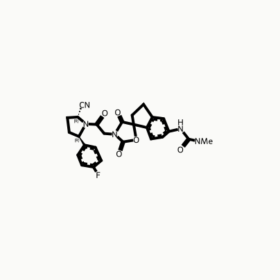 CNC(=O)Nc1ccc2c(c1)CCC21OC(=O)N(CC(=O)N2[C@@H](c3ccc(F)cc3)CC[C@@H]2C#N)C1=O